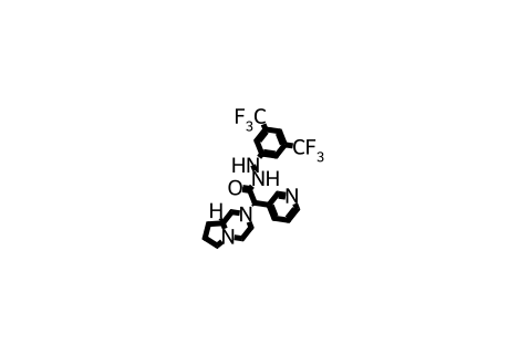 O=C(NNc1cc(C(F)(F)F)cc(C(F)(F)F)c1)[C@H](c1cccnc1)N1CCN2CCC[C@@H]2C1